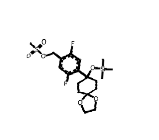 C[Si](C)(C)OC1(c2cc(F)c(COS(C)(=O)=O)cc2F)CCC2(CC1)OCCO2